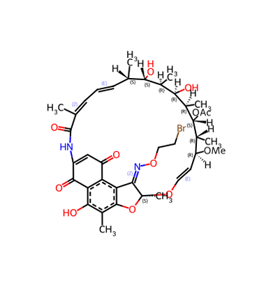 CO[C@H]1/C=C/O[C@@]2(C)Oc3c(C)c(O)c4c(c3/C2=N/OCCBr)C(=O)C=C(NC(=O)/C(C)=C\C=C\[C@H](C)[C@H](O)[C@@H](C)[C@@H](O)[C@@H](C)[C@H](OC(C)=O)[C@@H]1C)C4=O